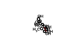 CC1=CC(c2c(O)ccc(-c3oc4cc(O)ccc4c(=O)c3O)c2O)C(C(=O)c2ccc(O)cc2O)C(c2ccc(O)cc2O)C1